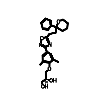 Cc1cc(-c2noc(CCC3(c4ccccc4)CCCCO3)n2)cc(C)c1OC[C@@H](O)CO